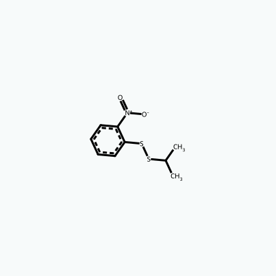 CC(C)SSc1ccccc1[N+](=O)[O-]